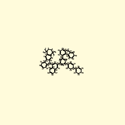 CC1(C)CCC(C)(C)c2cc3c(cc21)c1ccccc1n3-c1cc(-c2nc(C3=CCC(C4=CCCC=C4)C=C3)nc(-c3cccc4sc5ccccc5c34)n2)cc2ccccc12